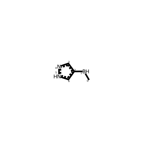 CBc1cn[nH]c1